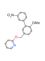 COc1ccc(COc2ccccn2)cc1-c1cccc([N+](=O)[O-])c1